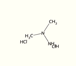 CN(C)N.Cl.Cl